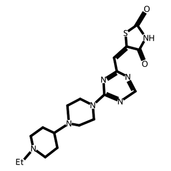 CCN1CCC(N2CCN(c3ncnc(/C=C4/SC(=O)NC4=O)n3)CC2)CC1